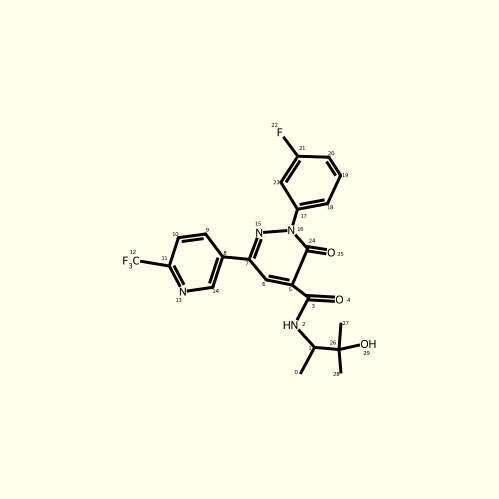 CC(NC(=O)c1cc(-c2ccc(C(F)(F)F)nc2)nn(-c2cccc(F)c2)c1=O)C(C)(C)O